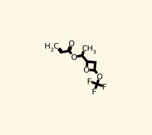 C=CC(=O)OC(C)C1CC(OC(F)(F)F)O1